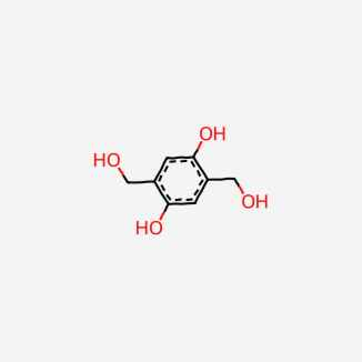 OCc1cc(O)c(CO)cc1O